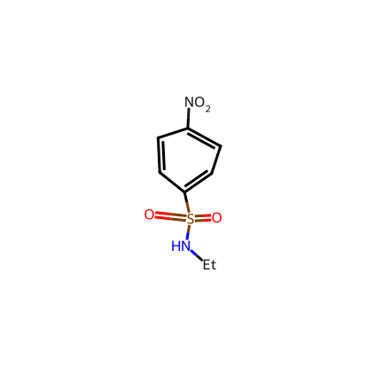 [CH2]CNS(=O)(=O)c1ccc([N+](=O)[O-])cc1